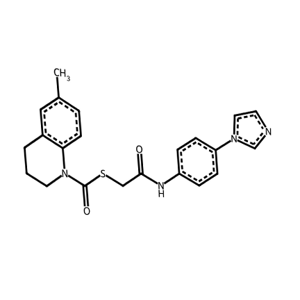 Cc1ccc2c(c1)CCCN2C(=O)SCC(=O)Nc1ccc(-n2ccnc2)cc1